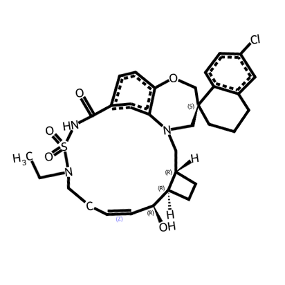 CCN1CC/C=C\[C@H](O)[C@@H]2CC[C@H]2CN2C[C@@]3(CCCc4cc(Cl)ccc43)COc3ccc(cc32)C(=O)NS1(=O)=O